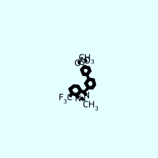 Cc1nc(-c2cccc(-c3ccc(S(C)(=O)=O)cc3)c2)c2cccc(C(F)(F)F)c2n1